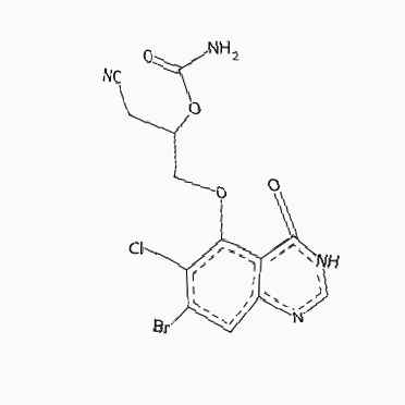 N#CCC(COc1c(Cl)c(Br)cc2nc[nH]c(=O)c12)OC(N)=O